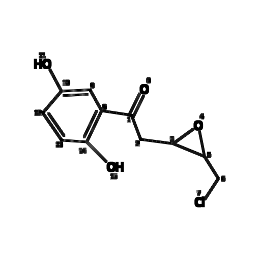 O=C(CC1OC1CCl)c1cc(O)ccc1O